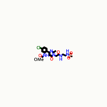 COC(=O)Nc1cc(Cl)ccc1-c1cc(=O)n(CC(=O)NCCNS(C)(=O)=O)c(C)n1